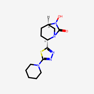 O=C1N(O)[C@@H]2CC[C@@H](c3nnc(N4CCCCC4)s3)N1C2